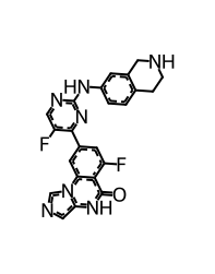 O=c1[nH]c2cncn2c2cc(-c3nc(Nc4ccc5c(c4)CNCC5)ncc3F)cc(F)c12